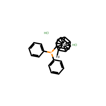 Cl.Cl.[Pd][C]12[CH]3[CH]4[CH]5[CH]1[Fe]45321678[CH]2[CH]1[CH]6[C]7(P(c1ccccc1)c1ccccc1)[CH]28